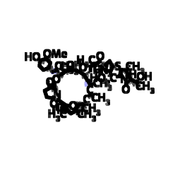 CO[C@@H]1C[C@H](/C=C(\C)[C@H]2OC(=O)[C@@H]3CCCCN3C(=O)C(=O)[C@]3(O)O[C@H]([C@@H](C)C[C@@H](C)C/C(C)=C/[C@@H](CCC(C)(C)C(=O)[C@@H]4C[C@H](SC5=C(C(=O)O)N6C(=O)[C@H]([C@@H](C)O)[C@H]6[C@H]5C)CN4)C(=O)C[C@H](O)[C@H]2C)[C@@H](C)C[C@H]3C)CC[C@H]1O